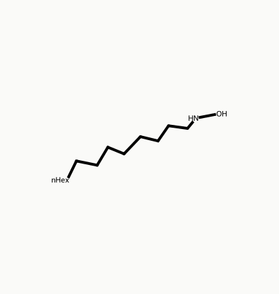 CCCCCCCCCCCCCCNO